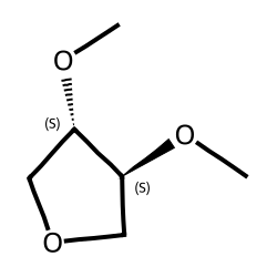 CO[C@H]1COC[C@@H]1OC